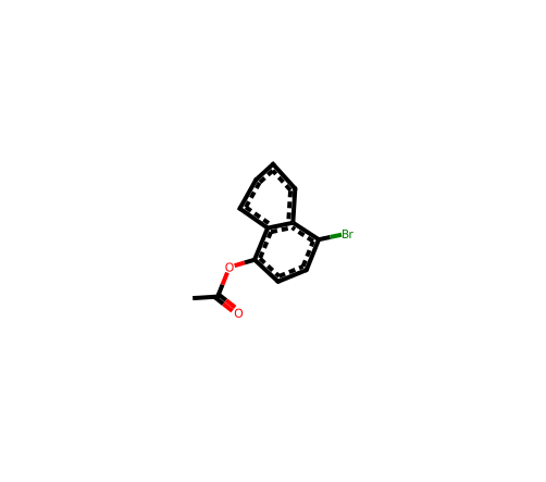 CC(=O)Oc1ccc(Br)c2ccccc12